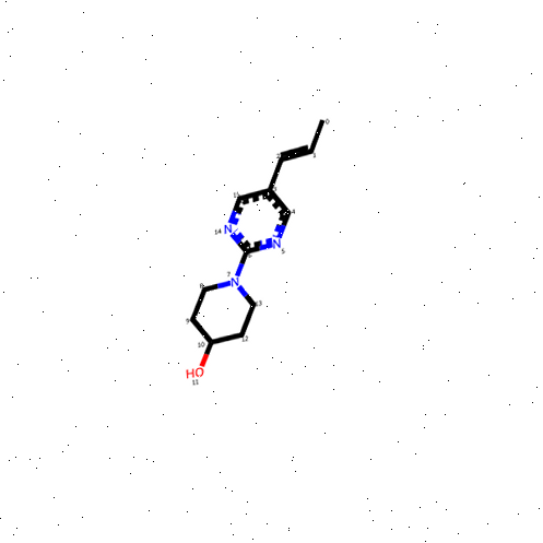 CC=Cc1cnc(N2CCC(O)CC2)nc1